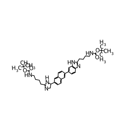 CC(C)(C)OC(=O)NCCCCC1=NCC(c2ccc3cc(-c4ccc5nc(CCCCNC(=O)OC(C)(C)C)[nH]c5c4)ccc3c2)N1